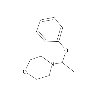 CC(Oc1cc[c]cc1)N1CCOCC1